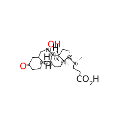 C[C@H](CCC(=O)O)[C@H]1CC[C@H]2[C@@H]3[C@@H](O)CC4CC(=O)CC[C@]4(C)[C@H]3CC[C@]12C